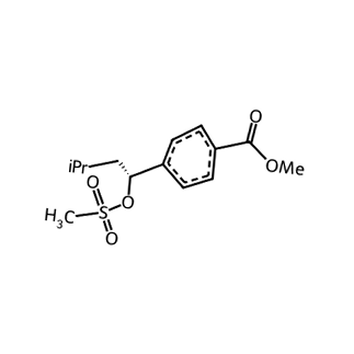 COC(=O)c1ccc([C@@H](CC(C)C)OS(C)(=O)=O)cc1